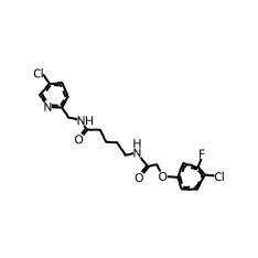 O=C(CCCCNC(=O)COc1ccc(Cl)c(F)c1)NCc1ccc(Cl)cn1